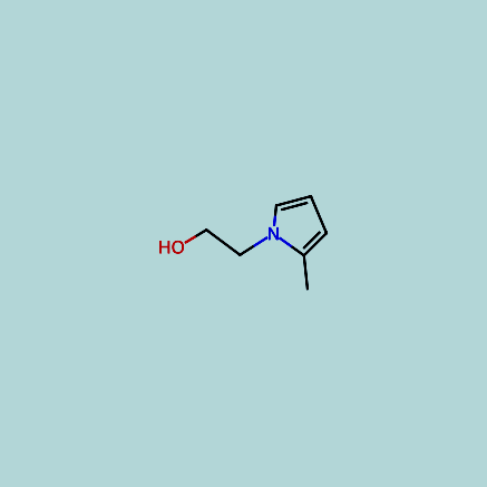 Cc1cccn1CCO